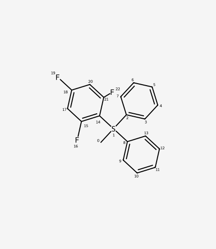 CS(c1ccccc1)(c1ccccc1)c1c(F)cc(F)cc1F